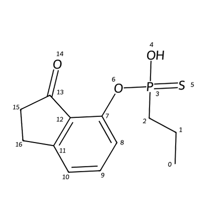 CCCP(O)(=S)Oc1cccc2c1C(=O)CC2